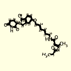 CCc1nc(C)c(C(=O)NCCCCCCOc2ccc3c(c2)CN(C2CCC(=O)NC2=O)C3=O)o1